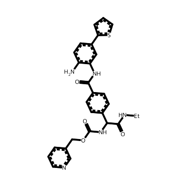 CCNC(=O)C(NC(=O)OCc1cccnc1)c1ccc(C(=O)Nc2cc(-c3cccs3)ccc2N)cc1